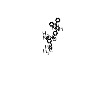 CCNCc1ccc(CN)c(NC(=O)c2ccc(Nc3nc(-c4ccccc4)c4ccccc4n3)cc2)c1